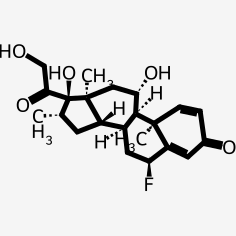 C[C@H]1C[C@H]2[C@@H]3C[C@H](F)C4=CC(=O)C=C[C@]4(C)[C@@H]3[C@@H](O)C[C@]2(C)[C@@]1(O)C(=O)CO